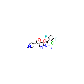 C[C@@H](Oc1c(N)ncc2c(C3=CCN(C)CC3)coc12)c1c(F)ccc(F)c1Cl